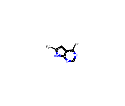 CC(C)c1ncnc2[nH]c(C(F)(F)F)cc12